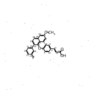 COc1ccc2c(Oc3ccc(C=CC(=O)O)cc3)c(-c3cccc(F)c3)ccc2c1